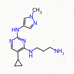 Cn1cc(Nc2ncc(C3CC3)c(NCCCN)n2)cn1